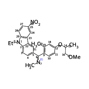 CCn1c2ccc(/C(=N\C)c3ccc(OC(C)COC)cc3C)cc2c2cc([N+](=O)[O-])ccc21